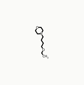 CCOCCCCN1CCOCC1